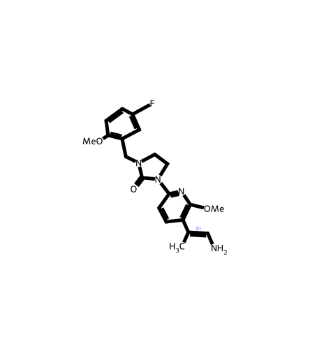 COc1ccc(F)cc1CN1CCN(c2ccc(/C(C)=C/N)c(OC)n2)C1=O